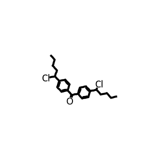 CCCCC(Cl)c1ccc(C(=O)c2ccc(C(Cl)CCCC)cc2)cc1